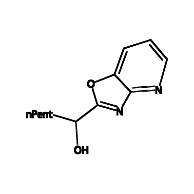 CCCCCC(O)c1nc2ncccc2o1